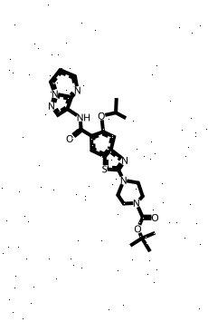 CC(C)Oc1cc2nc(N3CCN(C(=O)OC(C)(C)C)CC3)sc2cc1C(=O)Nc1cnn2cccnc12